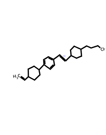 C=CC1CCC(c2ccc(/C=C/C3CCC(CCCC)CC3)cc2)CC1